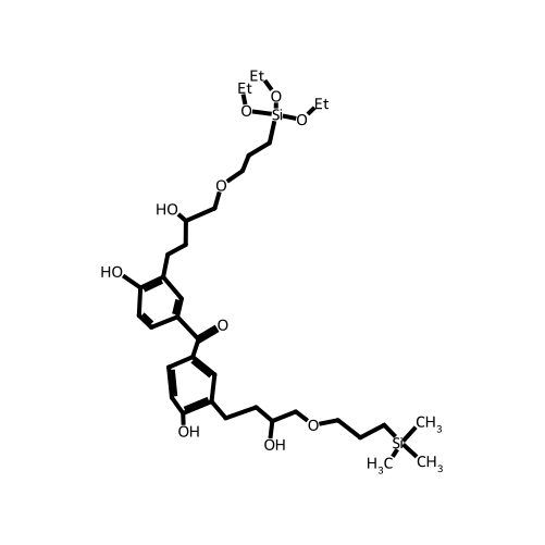 CCO[Si](CCCOCC(O)CCc1cc(C(=O)c2ccc(O)c(CCC(O)COCCC[Si](C)(C)C)c2)ccc1O)(OCC)OCC